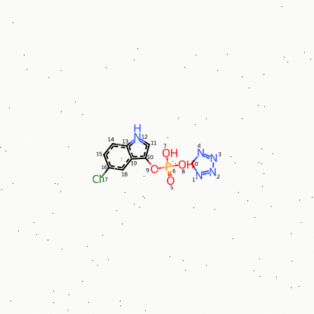 C1N=NN=N1.O=P(O)(O)Oc1c[nH]c2ccc(Cl)cc12